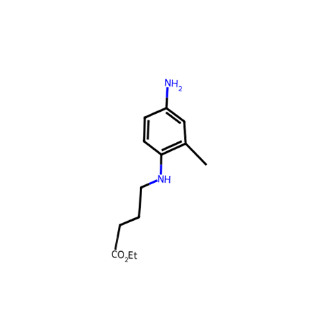 CCOC(=O)CCCNc1ccc(N)cc1C